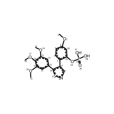 COc1ccc(-c2cnsc2-c2cc(OC)c(OC)c(OC)c2)c(OP(=O)(O)O)c1